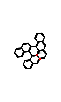 Oc1ccc2ccccc2c1-c1c(-c2c3ccccc3cc3ccccc23)ccc2ccccc12